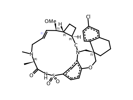 CO[C@@H]1/C=C/CN(C)[C@H](C)C(=O)NS(=O)(=O)c2ccc3c(c2)N(C[C@@H]2CC[C@H]21)C[C@@]1(CCCc2cc(Cl)ccc21)CO3